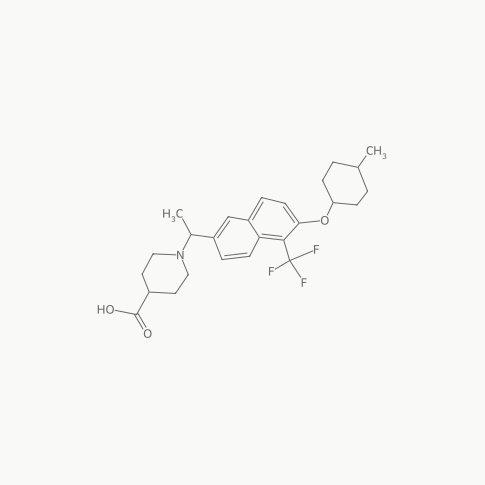 CC1CCC(Oc2ccc3cc(C(C)N4CCC(C(=O)O)CC4)ccc3c2C(F)(F)F)CC1